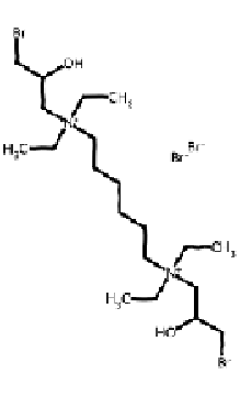 CC[N+](CC)(CCCCCC[N+](CC)(CC)CC(O)CBr)CC(O)CBr.[Br-].[Br-]